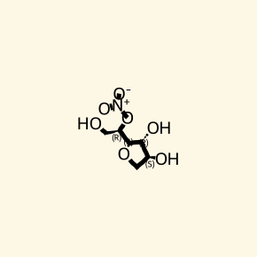 O=[N+]([O-])O[C@H](CO)[C@H]1OC[C@H](O)[C@H]1O